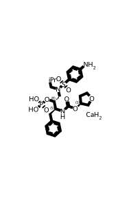 CC(C)CN(C[C@@H](OP(=O)(O)O)[C@H](Cc1ccccc1)NC(=O)O[C@H]1CCOC1)S(=O)(=O)c1ccc(N)cc1.[CaH2]